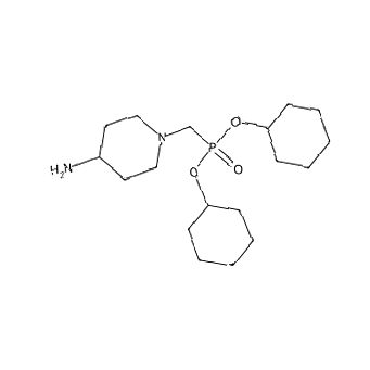 NC1CCN(CP(=O)(OC2CCCCC2)OC2CCCCC2)CC1